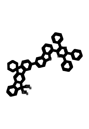 CC1(C)c2ccccc2C2C=C3C(=CC21)c1cc(-c2ccc4oc5c(-c6nc(-c7ccccc7)c(-c7ccccc7)nc6-c6ccccc6)cccc5c4c2)ccc1C31CCCCC1